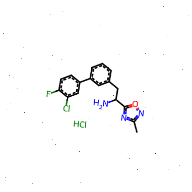 Cc1noc(C(N)Cc2cccc(-c3ccc(F)c(Cl)c3)c2)n1.Cl